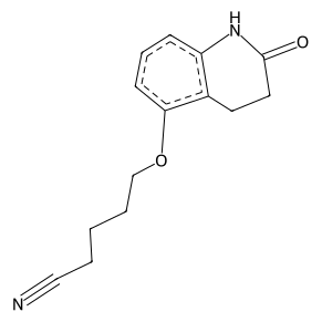 N#CCCCCOc1cccc2c1CCC(=O)N2